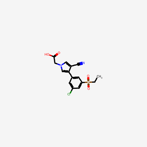 CCS(=O)(=O)c1cc(Cl)cc(-c2cn(CC(=O)O)cc2C#N)c1